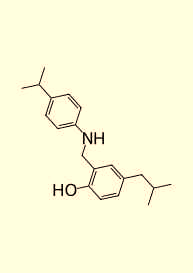 CC(C)Cc1ccc(O)c(CNc2ccc(C(C)C)cc2)c1